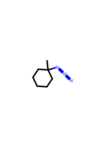 CC1(N=[N+]=[N-])CCCCC1